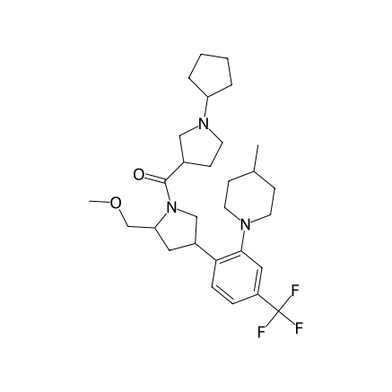 COCC1CC(c2ccc(C(F)(F)F)cc2N2CCC(C)CC2)CN1C(=O)C1CCN(C2CCCC2)C1